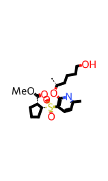 COC(=O)[C@H]1CCC[C@H]1S(=O)(=O)c1ccc(C)nc1O[C@H](C)CCCCO